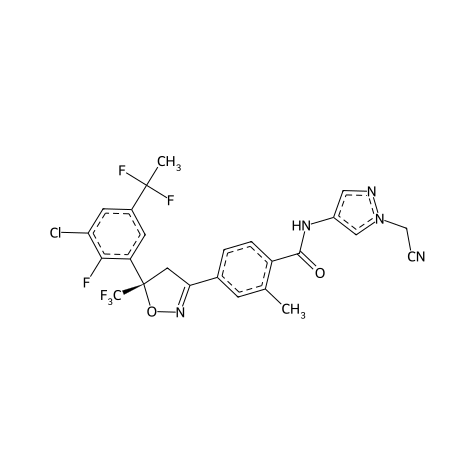 Cc1cc(C2=NO[C@@](c3cc(C(C)(F)F)cc(Cl)c3F)(C(F)(F)F)C2)ccc1C(=O)Nc1cnn(CC#N)c1